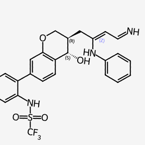 N=C/C=C(/C[C@@H]1COc2cc(-c3ccccc3NS(=O)(=O)C(F)(F)F)ccc2[C@H]1O)Nc1ccccc1